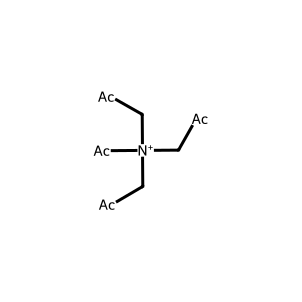 CC(=O)C[N+](CC(C)=O)(CC(C)=O)C(C)=O